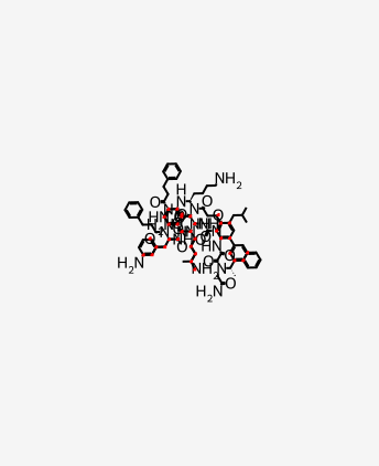 CC(C)CCC(=O)N(C(=O)N[C@@H](Cc1ccccc1)N(C(=O)CCC(C)C)C(=O)N[C@@H](CCCCN)N(C(=O)CCc1ccccc1)C(=O)NN(C(=O)CCc1ccccc1)C(=O)N[C@@H](CCCCN)N(C(=O)CCc1ccccc1)C(=O)N[C@@H](CCCCN)N(C(N)=O)C(=O)CCc1ccccc1)[C@H](Cc1ccccc1)NC(=O)C(=O)N(CC(N)=O)[C@@H](C)Cc1ccccc1